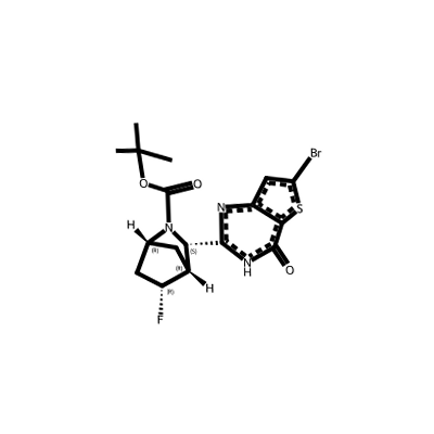 CC(C)(C)OC(=O)N1[C@@H]2C[C@@H]([C@H](F)C2)[C@H]1c1nc2cc(Br)sc2c(=O)[nH]1